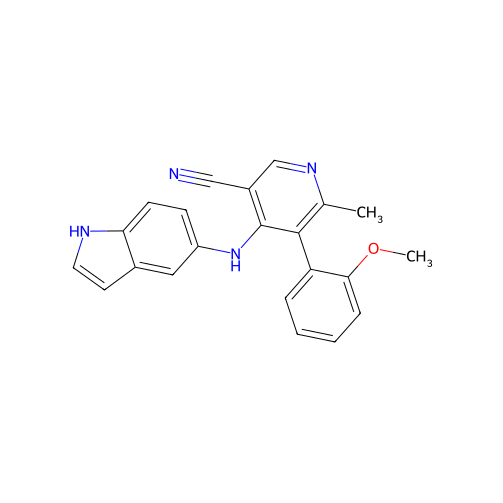 COc1ccccc1-c1c(C)ncc(C#N)c1Nc1ccc2[nH]ccc2c1